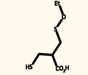 CCOSCC(CS)C(=O)O